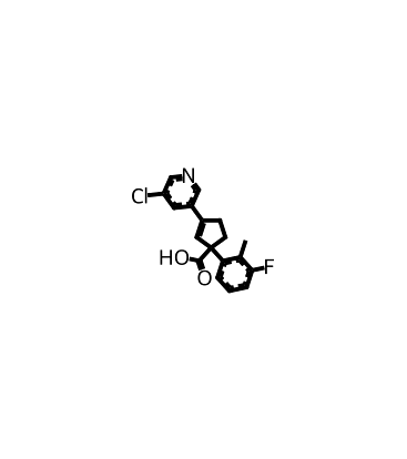 Cc1c(F)cccc1C1(C(=O)O)C=C(c2cncc(Cl)c2)CC1